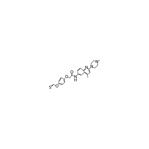 Cc1cc(N2CCN(C)CC2)nc2ccc(NC(=O)COc3ccc(OC=S)cc3)cc12